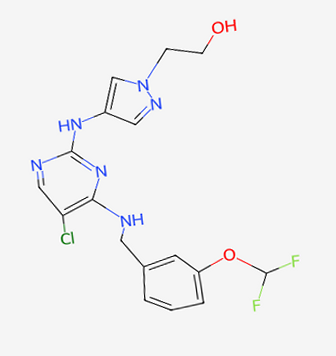 OCCn1cc(Nc2ncc(Cl)c(NCc3cccc(OC(F)F)c3)n2)cn1